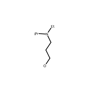 CCN(CCC[O])C(C)C